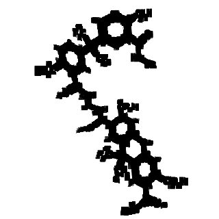 CCNC(=O)c1cc(C(c2ccc(C(=O)O)c(C(=O)NCNC(=O)c3cc4c(cc3C(=O)O)Oc3cc(C(=O)O)c(C(=O)NC)cc3C4(C(F)(F)F)C(F)(F)F)c2)(C(F)(F)F)C(F)(F)F)ccc1C(=O)O